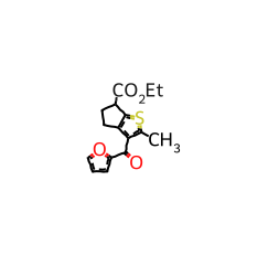 CCOC(=O)C1CCc2c1sc(C)c2C(=O)c1ccco1